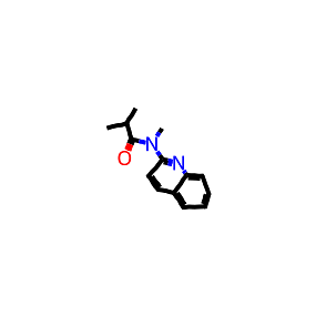 CC(C)C(=O)N(C)c1ccc2ccccc2n1